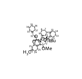 CO[C@H](CO[Si](c1ccccc1)(c1ccccc1)C(C)(C)C)C(c1ccc(C)cc1)N(C)C(=O)OCc1ccccc1